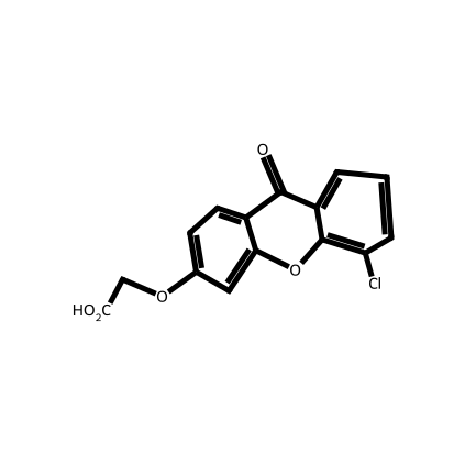 O=C(O)COc1ccc2c(=O)c3cccc(Cl)c3oc2c1